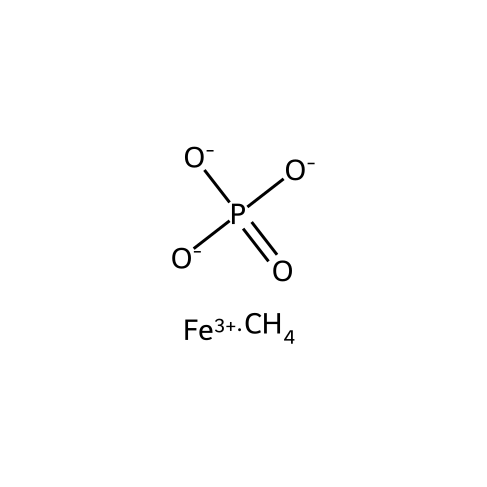 C.O=P([O-])([O-])[O-].[Fe+3]